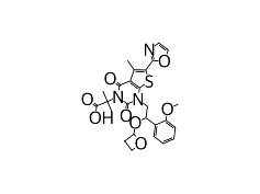 COc1ccccc1C(Cn1c(=O)n(C(C)(C)C(=O)O)c(=O)c2c(C)c(-c3ncco3)sc21)OC1CCO1